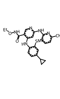 CCONC(=O)c1cnc(Nc2cccc(C)n2)cc1Nc1ccc(C2CC2)cc1SC